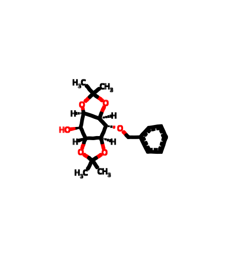 CC1(C)O[C@@H]2[C@@H](OCc3ccccc3)[C@@H]3OC(C)(C)O[C@@H]3[C@H](O)[C@H]2O1